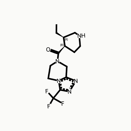 CC[C@H]1CNCC[C@H]1C(=O)N1CCn2c(nnc2C(F)(F)F)C1